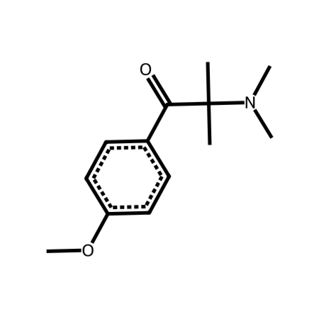 COc1ccc(C(=O)C(C)(C)N(C)C)cc1